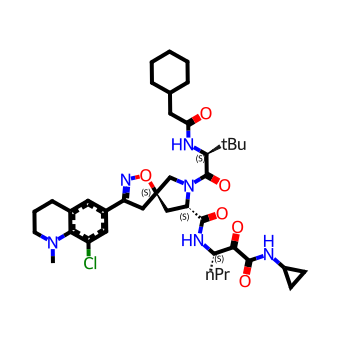 CCC[C@H](NC(=O)[C@@H]1C[C@]2(CC(c3cc(Cl)c4c(c3)CCCN4C)=NO2)CN1C(=O)[C@@H](NC(=O)CC1CCCCC1)C(C)(C)C)C(=O)C(=O)NC1CC1